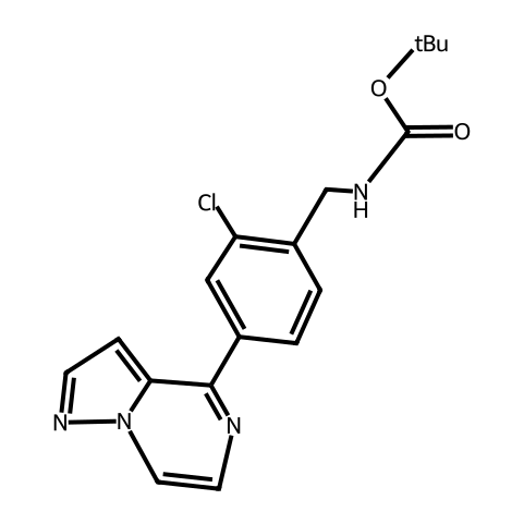 CC(C)(C)OC(=O)NCc1ccc(-c2nccn3nccc23)cc1Cl